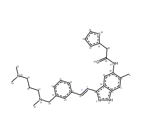 Cc1cc2[nH]nc(/C=C/c3cccc(CN(C)CCCN(C)C)c3)c2cc1NC(=O)Cc1cccs1